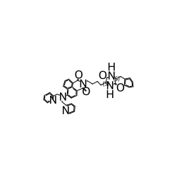 O=C1N[C@@H](Cc2ccccc2)C(=O)N[C@H]1CCCCN1C(=O)c2cccc3c(N(Cc4ccccn4)Cc4ccccn4)ccc(c23)C1=O